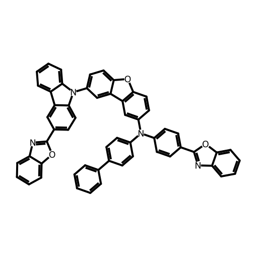 c1ccc(-c2ccc(N(c3ccc(-c4nc5ccccc5o4)cc3)c3ccc4oc5ccc(-n6c7ccccc7c7cc(-c8nc9ccccc9o8)ccc76)cc5c4c3)cc2)cc1